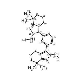 CC1(C)CCCc2c1nn(PI)c2-c1cccc(-c2c3c(nn2PI)C(C)(C)CCC3)n1